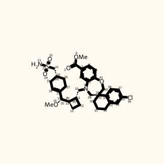 COC(=O)c1ccc2c(c1)N(C[C@@H]1CC[C@H]1[C@H](OC)C1=CC[C@H](CS(N)(=O)=O)CC1)C[C@@]1(CCCc3cc(Cl)ccc31)CO2